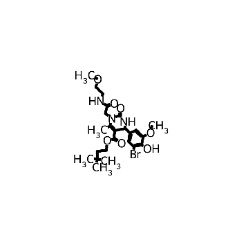 COCCNC(=O)CN1C(=O)NC(c2cc(Br)c(O)c(OC)c2)C(C(=O)OCCC(C)(C)C)=C1C